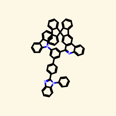 c1ccc(-n2c(-c3ccc(-c4cc(-c5nc6ccccc6c6cc7c(cc56)C5(c6ccccc6-c6ccccc65)c5ccccc5-7)cc(-n5c6ccccc6c6ccccc65)c4)cc3)nc3ccccc32)cc1